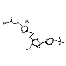 Cc1cc(CCc2nn(-c3ccc(C(F)(F)F)cc3)nc2C)ccc1OCC(=O)O